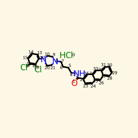 Cl.O=C(NCCCCN1CCN(c2cccc(Cl)c2Cl)CC1)c1ccc2cc3ccccc3cc2c1